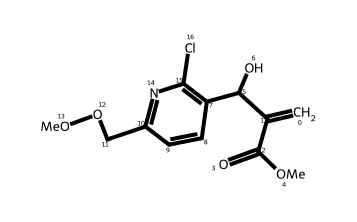 C=C(C(=O)OC)C(O)c1ccc(COOC)nc1Cl